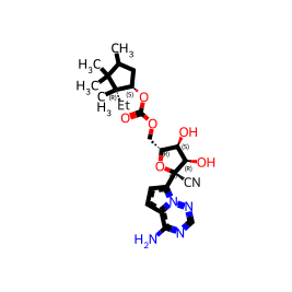 CC[C@@]1(C)[C@@H](OC(=O)OC[C@H]2O[C@@](C#N)(c3ccc4c(N)ncnn34)[C@H](O)[C@@H]2O)CC(C)C1(C)C